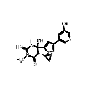 CN1C(=N)N[C@](C)(c2cc(-c3cncc(C#N)c3)cs2)[C@H](C2CC2)C1=O